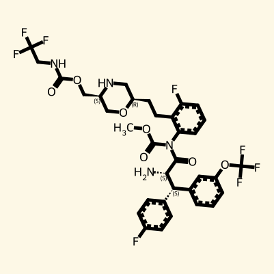 COC(=O)N(C(=O)[C@@H](N)[C@@H](c1ccc(F)cc1)c1cccc(OC(F)(F)F)c1)c1cccc(F)c1CC[C@@H]1CN[C@H](COC(=O)NCC(F)(F)F)CO1